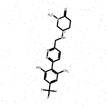 Cc1cc(C(F)(F)F)cc(O)c1-c1ccc(CN[C@@H]2CCC(=O)N(C)C2)nn1